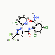 CNC(=O)c1cc(Cl)cc(Cl)c1NC(=O)C1CC(C(F)(F)F)=NN1c1ncccc1Cl